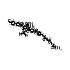 C=CC(=O)OCCOC(=O)CCC(=O)OCCc1ccc(OC(=O)C2CCC(C(=O)Oc3c(C(C)(C)C)cc(OC(=O)C4CCC(C5CCC(CC)CC5)CC4)c4c3SC(=C(C#N)C#N)S4)CC2)cc1